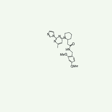 COc1ccc(CNC(=O)CC2CCCCN2c2cc(C)nc(-n3ccnc3)n2)c(OC)c1